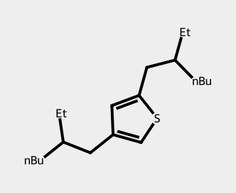 CCCCC(CC)Cc1csc(CC(CC)CCCC)c1